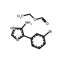 CCOC=O.Nc1[nH]cnc1-c1cccc(Br)c1